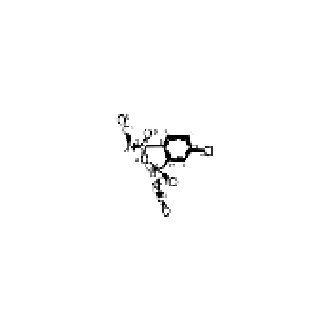 O=C=NS(=O)(=O)c1ccc(Cl)cc1S(=O)(=O)N=C=O